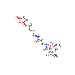 CC1(C)COC(C)(C)O[C@@H](C(=O)NCCC(=O)NCCSC(=O)/C=C2\CCC(=O)O2)C1